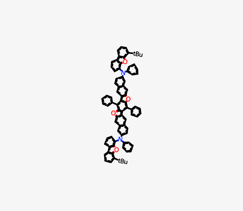 CC(C)(C)c1cccc2c1oc1c(N(c3ccccc3)c3ccc4cc5c(cc4c3)oc3c(-c4ccccc4)c4c(oc6cc7cc(N(c8ccccc8)c8cccc9c8oc8c(C(C)(C)C)cccc89)ccc7cc64)c(-c4ccccc4)c35)cccc12